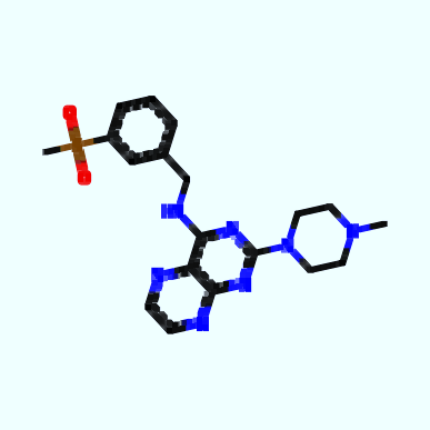 CN1CCN(c2nc(NCc3cccc(S(C)(=O)=O)c3)c3nccnc3n2)CC1